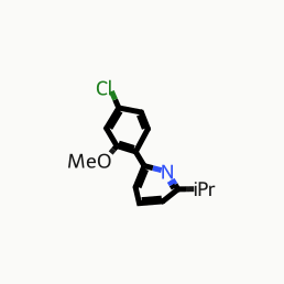 COc1cc(Cl)ccc1-c1cccc(C(C)C)n1